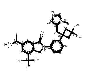 C[C@H](N)c1cc2c(c(C(F)(F)F)c1)CN(c1cccc(C3(Cc4nncn4C)CC(F)(F)C3)c1)C2=O